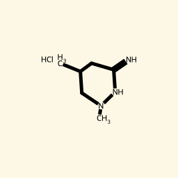 CC1CC(=N)NN(C)C1.Cl